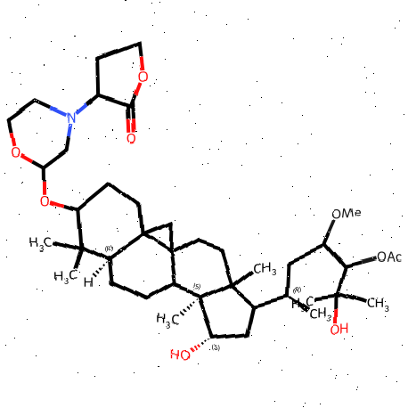 COC(C[C@@H](C)C1C[C@H](O)[C@@]2(C)C3CC[C@H]4C(C)(C)C(OC5CN(C6CCOC6=O)CCO5)CCC45CC35CCC12C)C(OC(C)=O)C(C)(C)O